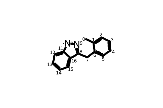 Cc1ccccc1CC1=N[N]c2ccccc21